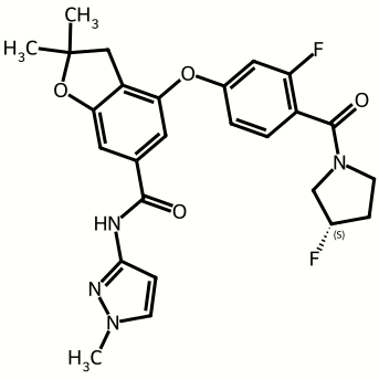 Cn1ccc(NC(=O)c2cc(Oc3ccc(C(=O)N4CC[C@H](F)C4)c(F)c3)c3c(c2)OC(C)(C)C3)n1